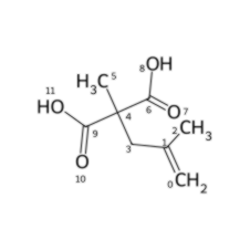 C=C(C)CC(C)(C(=O)O)C(=O)O